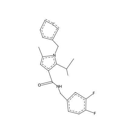 Cc1cc(C(=O)NCc2ccc(F)c(F)c2)c(C(C)C)n1Cc1ccccc1